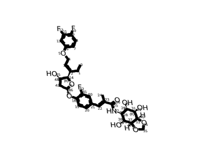 CCC(=CCOc1ccc(F)c(F)c1)[C@H]1O[C@@H](Oc2ccc(C=C(C)C(=O)N[C@@H]3[C@H](O)[C@@H](O)[C@H]4OCO[C@H]4[C@@H]3O)cc2F)C[C@@H]1O